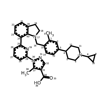 Cc1cc(C2CCN(C3CC3)CC2)ccc1CN1CCc2cccc(-c3cccc(-n4ncc(C(=O)O)c4C)n3)c21